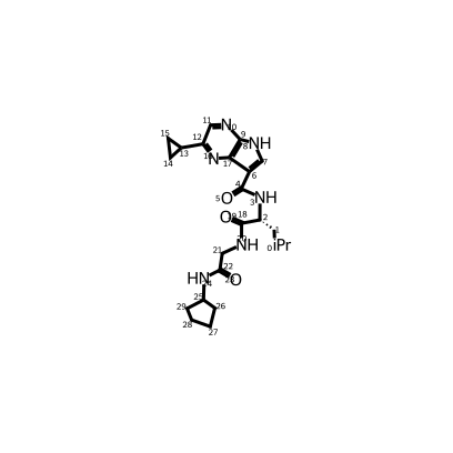 CC(C)C[C@@H](NC(=O)c1c[nH]c2ncc(C3CC3)nc12)C(=O)NCC(=O)NC1CCCC1